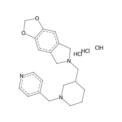 Cl.Cl.Cl.c1cc(CN2CCCC(CN3Cc4cc5c(cc4C3)OCO5)C2)ccn1